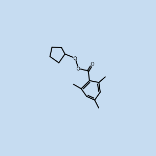 Cc1cc(C)c(C(=O)OO[C]2CCCC2)c(C)c1